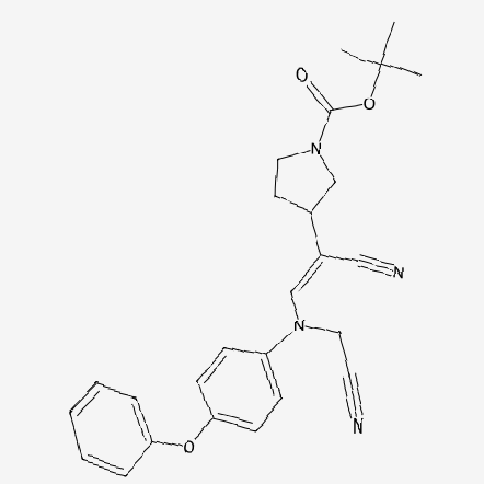 CC(C)(C)OC(=O)N1CCC(/C(C#N)=C/N(CC#N)c2ccc(Oc3ccccc3)cc2)C1